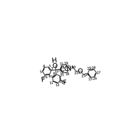 OC(c1cccc(F)c1)(c1cccc(F)c1)C12CC[N+](CCOCc3ccccc3)(CC1)CC2